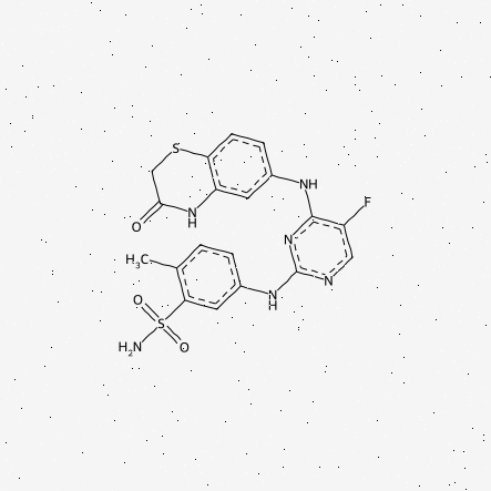 Cc1ccc(Nc2ncc(F)c(Nc3ccc4c(c3)NC(=O)CS4)n2)cc1S(N)(=O)=O